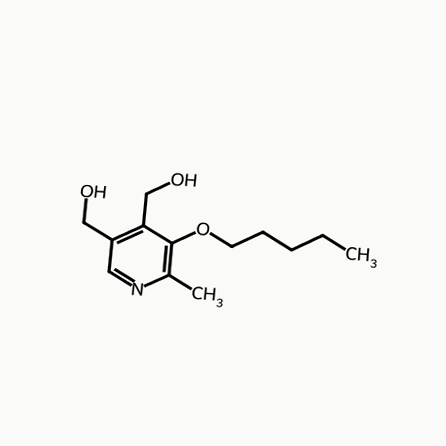 CCCCCOc1c(C)ncc(CO)c1CO